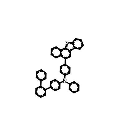 c1ccc(-c2ccccc2-c2ccc(N(c3ccccc3)c3ccc(-c4cc5c6ccccc6sc5c5ccccc45)cc3)cc2)cc1